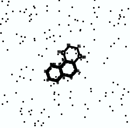 c1cnc2c3c(ccc2c1)OCCO3